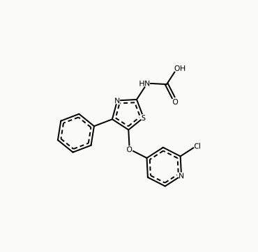 O=C(O)Nc1nc(-c2ccccc2)c(Oc2ccnc(Cl)c2)s1